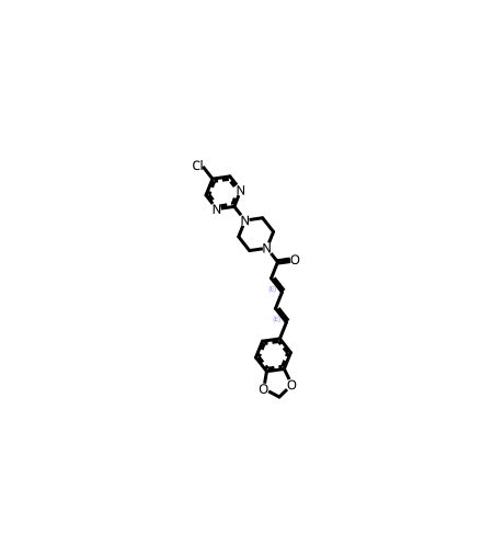 O=C(/C=C/C=C/c1ccc2c(c1)OCO2)N1CCN(c2ncc(Cl)cn2)CC1